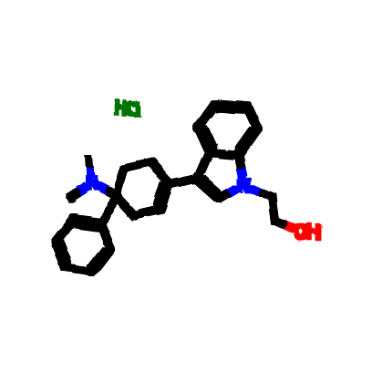 CN(C)C1(c2ccccc2)CC=C(c2cn(CCO)c3ccccc23)CC1.Cl